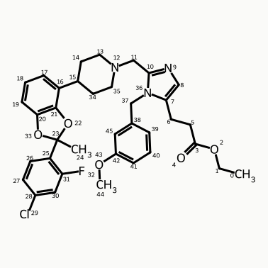 CCOC(=O)CCc1cnc(CN2CCC(c3cccc4c3OC(C)(c3ccc(Cl)cc3F)O4)CC2)n1Cc1cccc(OC)c1